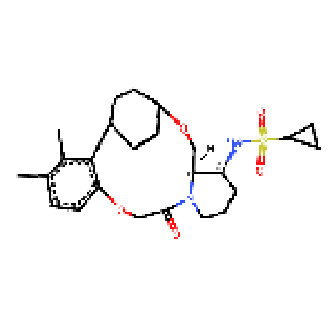 Cc1ccc2c(c1C)C1CCC(CC1)OC[C@H]1[C@@H](NS(=O)(=O)C3CC3)CCCN1C(=O)CO2